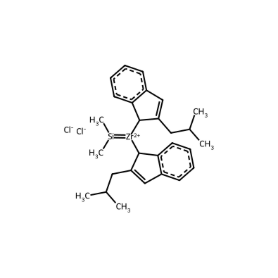 CC(C)CC1=Cc2ccccc2[CH]1[Zr+2]([CH]1C(CC(C)C)=Cc2ccccc21)=[Si](C)C.[Cl-].[Cl-]